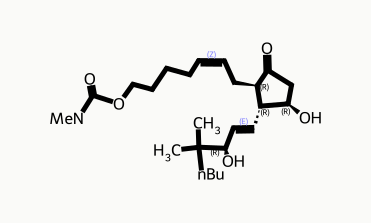 CCCCC(C)(C)[C@H](O)/C=C/[C@H]1[C@H](O)CC(=O)[C@@H]1C/C=C\CCCCOC(=O)NC